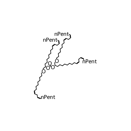 CCCCC/C=C\C/C=C\CCCCCCCCOCC(CCCCCCCC/C=C\C/C=C\CCCCC)OC(=O)OC(CCCCCCCC/C=C\C/C=C\CCCCC)COCCCCCCCC/C=C\C/C=C\CCCCC